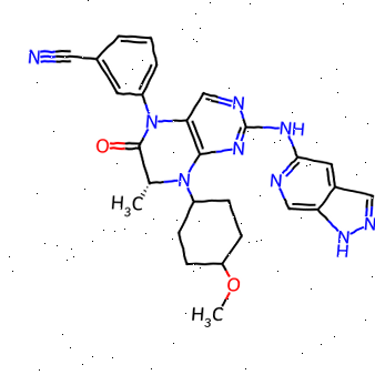 COC1CCC(N2c3nc(Nc4cc5cn[nH]c5cn4)ncc3N(c3cccc(C#N)c3)C(=O)[C@H]2C)CC1